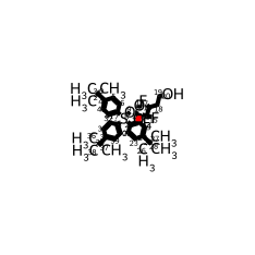 CC(C)(C)c1ccc(S(OS(=O)(=O)C(F)(F)C(F)CCO)(c2ccc(C(C)(C)C)cc2)c2ccc(C(C)(C)C)cc2)cc1